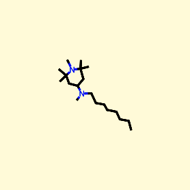 CCCCCCCCN(C)C1CC(C)(C)N(C)C(C)(C)C1